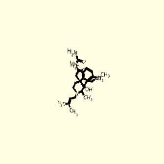 CCCC1(O)C(C)N(CC=C(C)C)CCC1(CC(=O)NC(N)=O)c1cc(OC)ccc1C